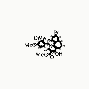 COC(=O)c1c(O)c2c(n(Cc3ccc(OC)cc3OC)c1=O)-c1c(F)cc(Br)cc1CCC2